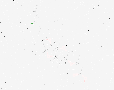 C=C(I)C[C@H](Cl)CC[C@]12C[C@H]3[C@H]4O[C@@H](CC(=O)OC)CC[C@@H]4O[C@@H]4[C@H]3O[C@H](C1)[C@]4(C)O2